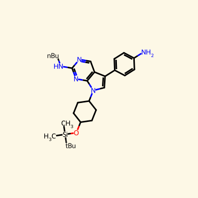 CCCCNc1ncc2c(-c3ccc(N)cc3)cn(C3CCC(O[Si](C)(C)C(C)(C)C)CC3)c2n1